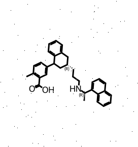 Cc1ccc(C2C[C@@H](CCCN[C@H](C)c3cccc4ccccc34)Cc3ccccc32)cc1C(=O)O